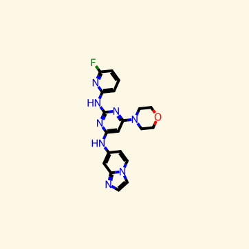 Fc1cccc(Nc2nc(Nc3ccn4ccnc4c3)cc(N3CCOCC3)n2)n1